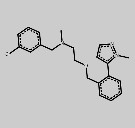 CN(CCOCc1ccccc1-c1ccnn1C)Cc1cccc(Cl)c1